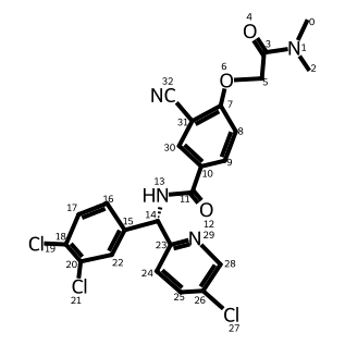 CN(C)C(=O)COc1ccc(C(=O)N[C@@H](c2ccc(Cl)c(Cl)c2)c2ccc(Cl)cn2)cc1C#N